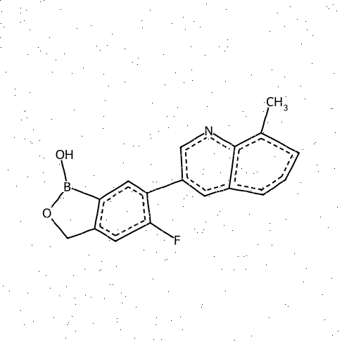 Cc1cccc2cc(-c3cc4c(cc3F)COB4O)cnc12